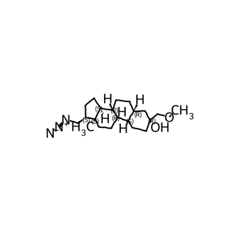 COC[C@@]1(O)CC[C@H]2[C@H](CC[C@@H]3[C@@H]2CC[C@]2(C)[C@@H](CN=[N+]=[N-])CC[C@@H]32)C1